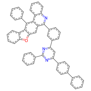 c1ccc(-c2ccc(-c3cc(-c4cccc(-c5nc6ccccc6c6c(-c7ccccc7)c7c(cc56)oc5ccccc57)c4)nc(-c4ccccc4)n3)cc2)cc1